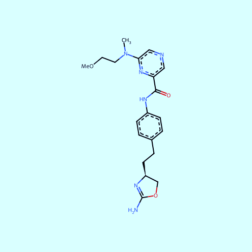 COCCN(C)c1cncc(C(=O)Nc2ccc(CC[C@H]3COC(N)=N3)cc2)n1